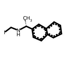 C[C@@H](NCI)c1ccc2ccccc2c1